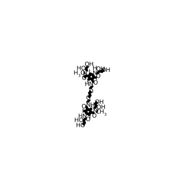 CN(CC(O)CO)C(=O)c1c(I)c(NC(=O)C(O)CO)c(I)c(C(=O)NCCOCCOCCNC(=O)c2c(I)c(NC(=O)C(O)CO)c(I)c(C(=O)N(C)CC(O)CO)c2I)c1I